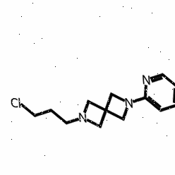 ClCCCN1CC2(C1)CN(c1ccccn1)C2